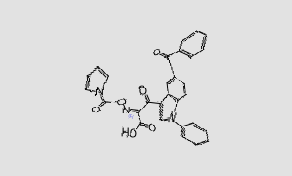 O=C(O)/C(=N/OC(=O)n1cccc1)C(=O)c1cn(-c2ccccc2)c2ccc(C(=O)c3ccccc3)cc12